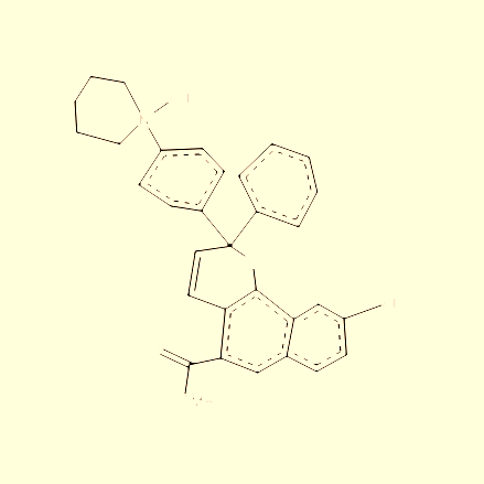 COC(=O)c1cc2ccc(C)cc2c2c1C=CC(c1ccccc1)(c1ccc([N+]3(C)CCCCC3)cc1)O2